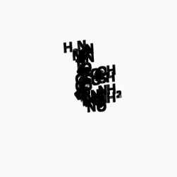 Nc1nc2c(ncn2[C@H]2CC[C@@H](OP(=O)(S)O[C@H]3C[C@H](n4cnc5c(N)ncnc54)O[C@@H]3COP(=O)(O)S)O2)c(=O)[nH]1